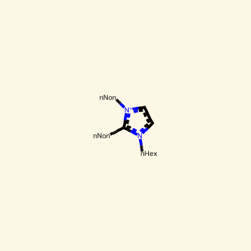 CCCCCCCCCc1n(CCCCCC)cc[n+]1CCCCCCCCC